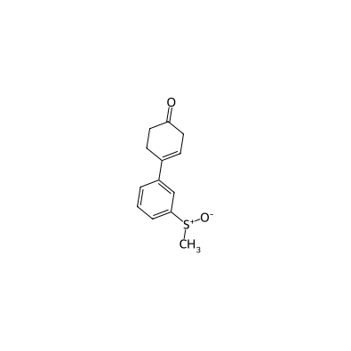 C[S+]([O-])c1cccc(C2=CCC(=O)CC2)c1